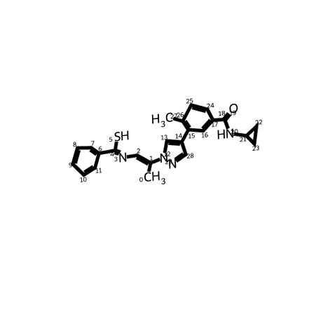 C/C(=C\N=C(/S)c1ccccc1)n1cc(-c2cc(C(=O)NC3CC3)ccc2C)cn1